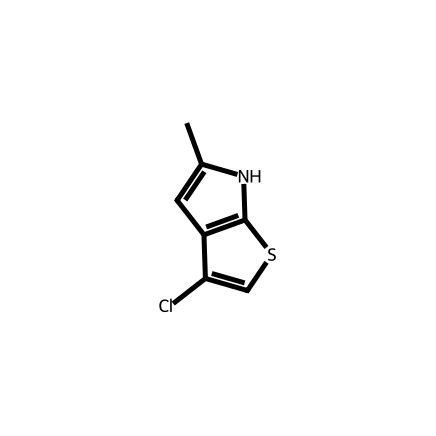 Cc1cc2c(Cl)csc2[nH]1